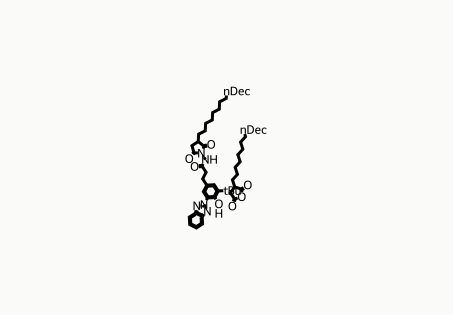 CCCCCCCCCCCCCCCCCCC1CC(=O)N(NC(=O)CCc2cc(-n3nc4ccccc4n3)c(O)c(C(C)(C)C)c2)C1=O.CCCCCCCCCCCCCCCCCCC1CC(=O)OC1=O